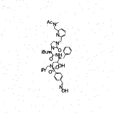 CC[C@H](C)[C@@H](C(=O)N[C@H](Cc1ccccc1)C(O)CN(CC(C)C)S(=O)(=O)c1ccc(C=NO)cc1)N1CCN(Cc2cccc(CN(C)C(C)=O)n2)C1=O